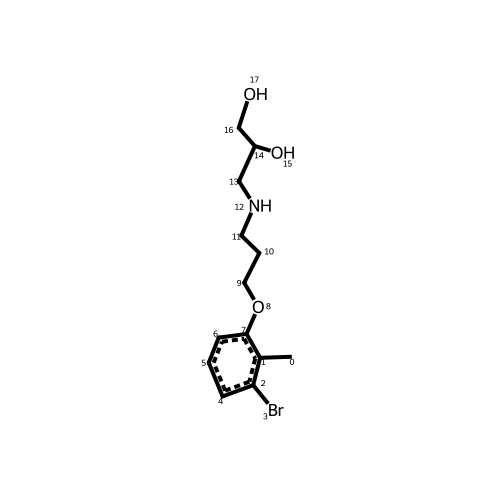 Cc1c(Br)cccc1OCCCNCC(O)CO